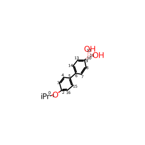 CC(C)Oc1ccc(-c2ccc(B(O)O)cc2)cc1